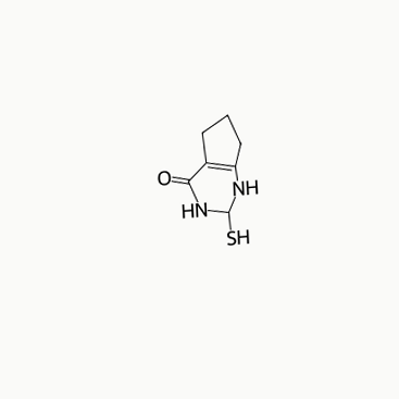 O=C1NC(S)NC2=C1CCC2